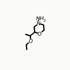 CCOC(C)C1CN(N)CCO1